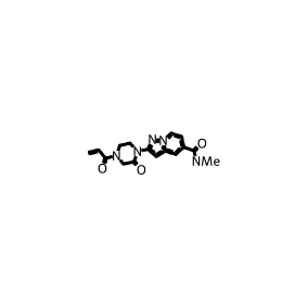 C=CC(=O)N1CCN(c2cc3cc(C(=O)NC)ccn3n2)C(=O)C1